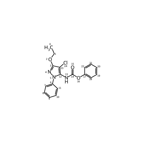 CCOc1nn(-c2ccccc2)c(NC(=O)Oc2ccccc2)c1Cl